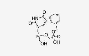 O=c1ccn(C[C@@H](CO)OCP(=O)(O)OCc2ccccc2)c(=O)[nH]1